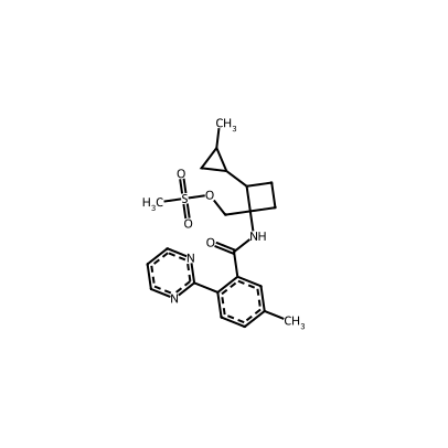 Cc1ccc(-c2ncccn2)c(C(=O)NC2(COS(C)(=O)=O)CCC2C2CC2C)c1